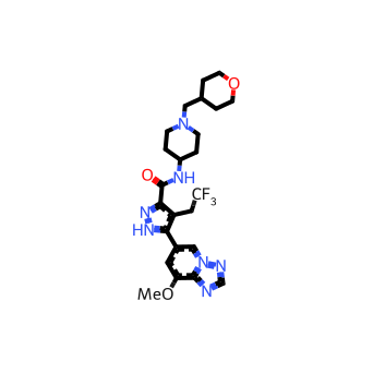 COc1cc(-c2[nH]nc(C(=O)NC3CCN(CC4CCOCC4)CC3)c2CC(F)(F)F)cn2ncnc12